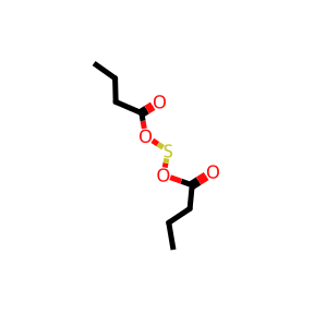 CCCC(=O)OSOC(=O)CCC